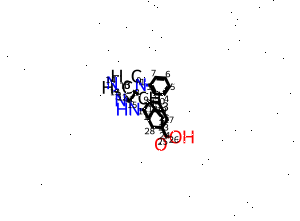 CN(c1ccccc1)C(C)(C)/C(=N\C#N)NC1C2CC3CC1CC(C(=O)O)(C3)C2